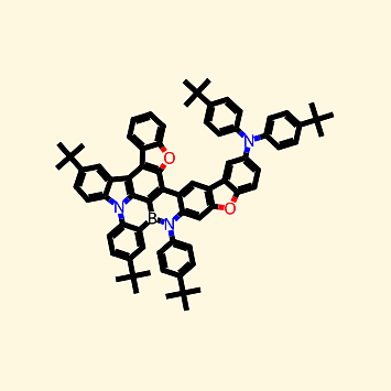 CC(C)(C)c1ccc(N2B3c4cc(C(C)(C)C)ccc4-n4c5ccc(C(C)(C)C)cc5c5c6c(oc7ccccc76)c(c3c54)-c3cc4c(cc32)oc2ccc(N(c3ccc(C(C)(C)C)cc3)c3ccc(C(C)(C)C)cc3)cc24)cc1